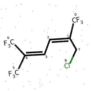 FC(F)(F)C(=CC=C(C(F)(F)F)C(F)(F)F)CCl